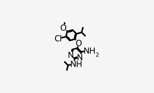 COc1cc(C(C)C)c(Oc2cnc(NC(C)C)nc2N)cc1Cl